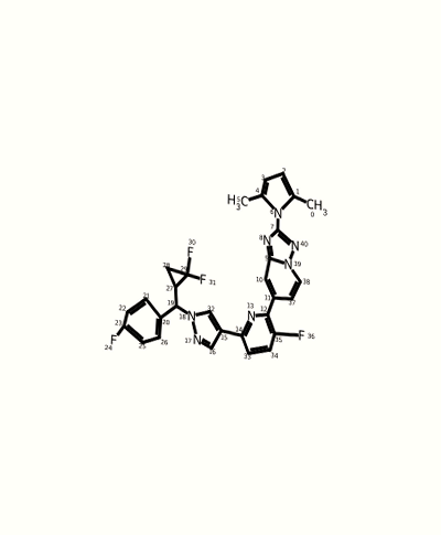 Cc1ccc(C)n1-c1nc2cc(-c3nc(-c4cnn(C(c5ccc(F)cc5)C5CC5(F)F)c4)ccc3F)ccn2n1